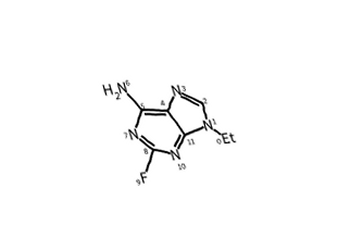 CCn1cnc2c(N)nc(F)nc21